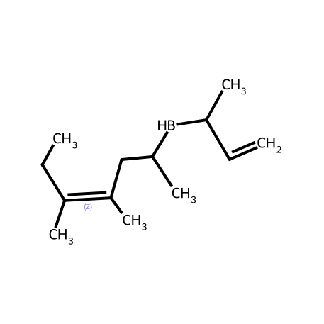 C=CC(C)BC(C)C/C(C)=C(/C)CC